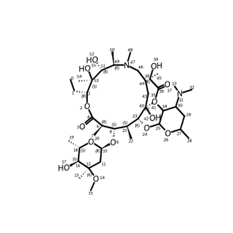 CC[C@H]1OC(=O)[C@H](C)[C@@H](O[C@H]2C[C@@](C)(OC)[C@@H](O)[C@H](C)O2)[C@H](C)[C@@H](OC2OC(C)CC(N(C)C)C2OC(=O)CO)[C@](C)(O)C[C@@H](C)CN(C)[C@H](C)[C@@H](O)[C@]1(C)O